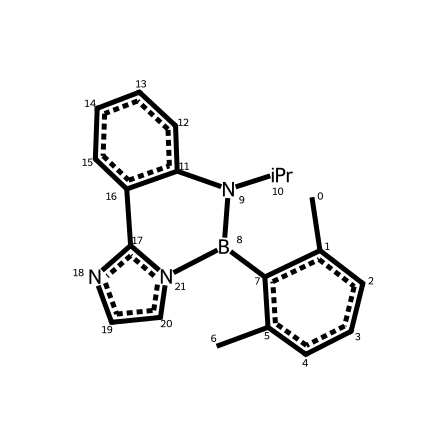 Cc1cccc(C)c1B1N(C(C)C)c2ccccc2-c2nccn21